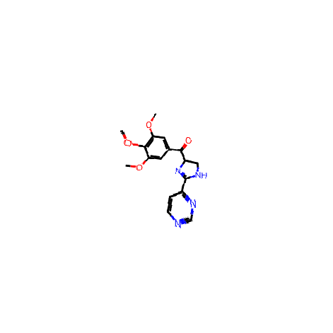 COc1cc(C(=O)C2CNC(c3ccncn3)=N2)cc(OC)c1OC